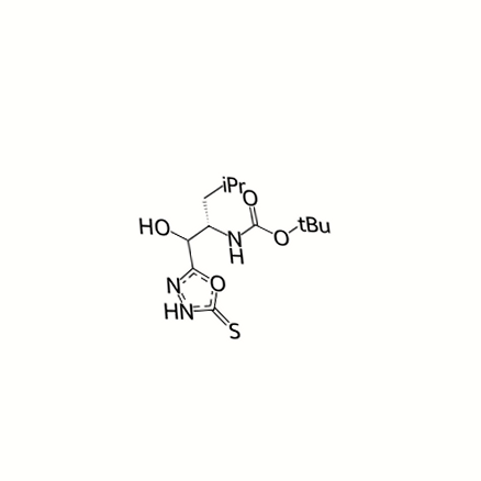 CC(C)C[C@H](NC(=O)OC(C)(C)C)C(O)c1n[nH]c(=S)o1